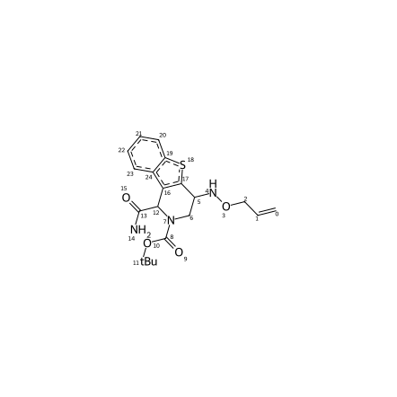 C=CCONC1CN(C(=O)OC(C)(C)C)C(C(N)=O)c2c1sc1ccccc21